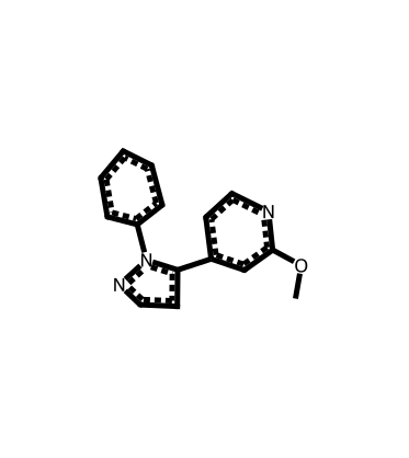 COc1cc(-c2ccnn2-c2ccccc2)ccn1